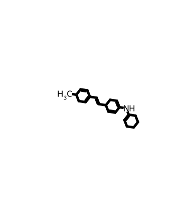 CC1C=CC(/C=C/C2C=CC(NC3=CCCCC3)=CC2)=CC1